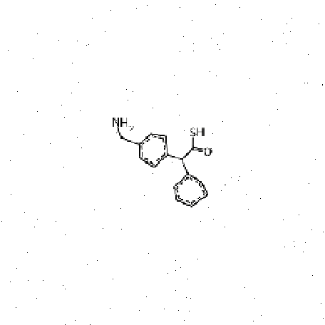 NCc1ccc(C(C(=O)S)c2ccccc2)cc1